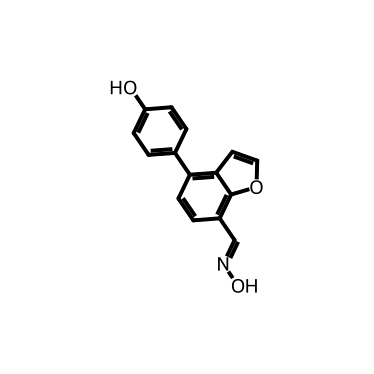 ON=Cc1ccc(-c2ccc(O)cc2)c2ccoc12